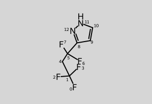 FC(F)(F)CC(F)(F)c1cc[nH]n1